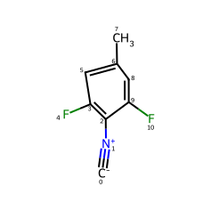 [C-]#[N+]c1c(F)cc(C)cc1F